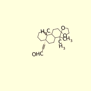 CC1(C)C2CC[C@@]3(C#CC=O)CCCC=C3[C@@]2(C)CCC12OCCO2